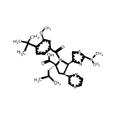 COc1cc(C(=O)N2[C@@H](c3csc(N(C)C)n3)[C@@H](c3cnccn3)C[C@@]2(CC(C)C)C(=O)O)ccc1C(C)(C)C